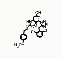 COc1ccc(CCOC(=O)NC(CC(=O)O)C(=O)Cn2nnnc2Cc2c(Cl)cccc2Cl)cc1